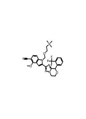 COc1c(C#N)ccc2c1cc(-c1nc3n(n1)CCOC3c1ccccc1C(F)(F)F)n2COCC[Si](C)(C)C